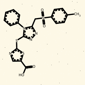 Cc1ccc(S(=O)(=O)Cc2nnc(Sc3ncc(C(=O)O)s3)n2-c2ccccc2)cc1